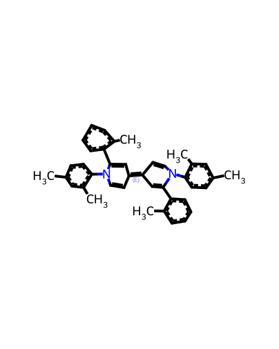 Cc1ccc(N2C=C/C(=C3/C=CN(c4ccc(C)cc4C)C(c4ccccc4C)=C3)C=C2c2ccccc2C)c(C)c1